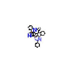 c1ccc(-c2nc(-c3cccnc3)c3c(n2)-c2ccccc2C32c3ccccc3-n3c4ccccc4c4cccc2c43)cc1